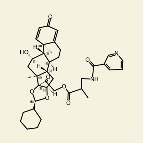 CC(CNC(=O)c1cccnc1)C(=O)OCC(=O)[C@@]12O[C@H](C3CCCCC3)O[C@@H]1C[C@H]1[C@@H]3CCC4=CC(=O)C=C[C@]4(C)[C@H]3[C@@H](O)C[C@@]12C